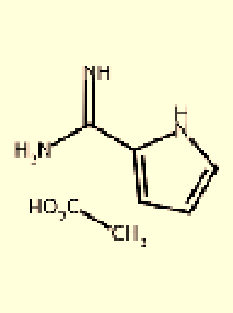 CC(=O)O.N=C(N)c1ccc[nH]1